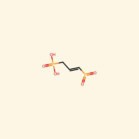 O=P(=O)C=CCP(=O)(O)O